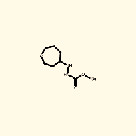 CC(C)(C)OC(=O)NNC1CCCOCC1